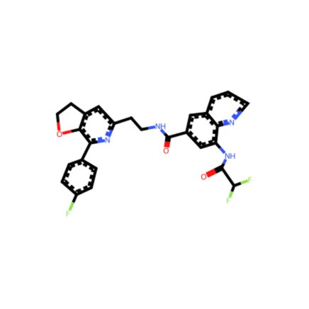 O=C(NCCc1cc2c(c(-c3ccc(F)cc3)n1)OCC2)c1cc(NC(=O)C(F)F)c2ncccc2c1